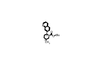 C[C@H]1CC[C@@H](c2ccc3cccnc3c2)N(C(=O)OC(C)(C)C)C1